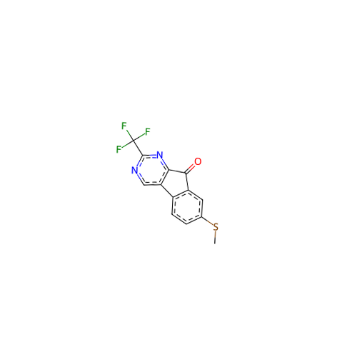 CSc1ccc2c(c1)C(=O)c1nc(C(F)(F)F)ncc1-2